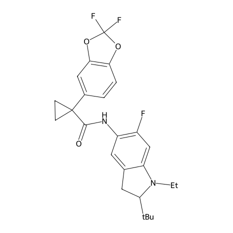 CCN1c2cc(F)c(NC(=O)C3(c4ccc5c(c4)OC(F)(F)O5)CC3)cc2CC1C(C)(C)C